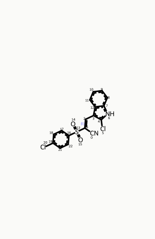 N#C/C(=C\c1c(Cl)[nH]c2ccccc12)S(=O)(=O)c1ccc(Cl)cc1